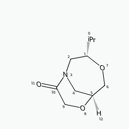 CC(C)[C@H]1CN2C[C@@H](CO1)OCC2=O